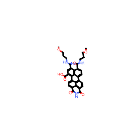 COCCCNC(=N)c1cc(C(=O)O)c2c3ccc4c5c(ccc(c6ccc(C(=O)NCCCOC)c1c62)c53)C(=O)NC4=O